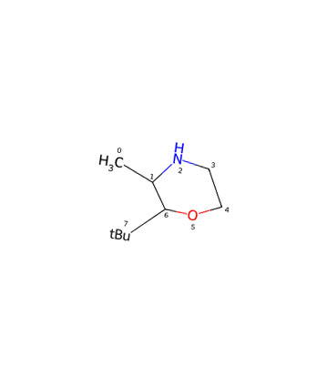 CC1NCCOC1C(C)(C)C